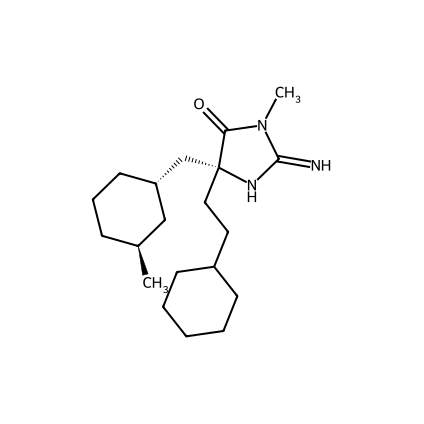 C[C@H]1CCC[C@H](C[C@@]2(CCC3CCCCC3)NC(=N)N(C)C2=O)C1